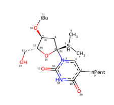 CCCCCc1cn([C@@]2([SiH](C)C)C[C@H](OC(C)(C)C)[C@@H](CO)O2)c(=O)[nH]c1=O